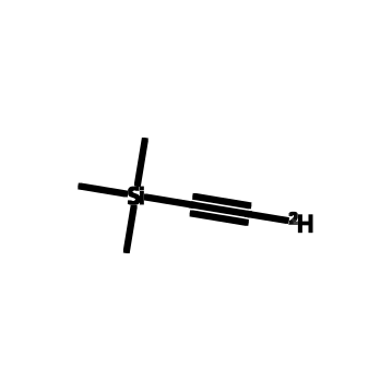 [2H]C#C[Si](C)(C)C